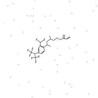 C=CNCCCC(C)CC(C)c1ccc(C(C(F)(F)F)C(F)(F)F)cc1C(F)F